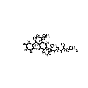 COC(=O)CCCC(C)(C)c1ccc(C(=O)c2ccccc2)c(C(=O)O)c1